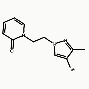 Cc1nn(CCn2ccccc2=O)cc1C(C)C